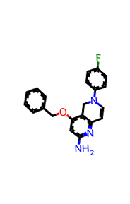 Nc1cc(OCc2ccccc2)c2c(n1)C=CN(c1ccc(F)cc1)C2